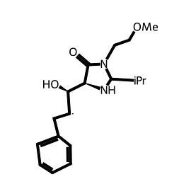 COCCN1C(=O)[C@H]([C@H](O)[CH]Cc2ccccc2)NC1C(C)C